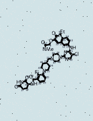 CCn1c(=O)c(OCC(=O)NC)cc2cc(Nc3nc(N4CCN(CC5CCN(c6cccc(C(=O)NC7CCC(=O)NC7=O)c6F)CC5)CC4)ncc3Cl)ccc21